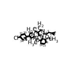 C=C1N=C(CCC2CC2)N(c2c(OC)cccc2OC)C(O)=C1C(=C)N1CC=C(c2ccc(Cl)cn2)C1